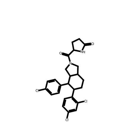 O=C1CCC(C(=O)N2CC3CCC(c4ccc(Cl)cc4Cl)C(c4ccc(Cl)cc4)C3C2)N1